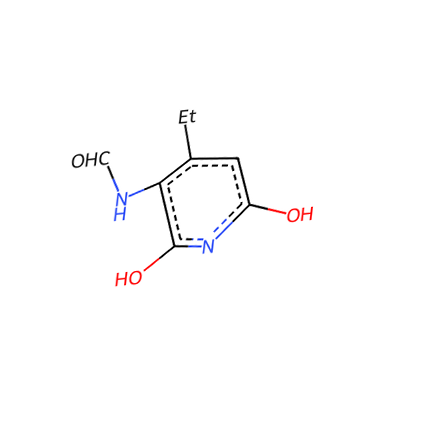 CCc1cc(O)nc(O)c1NC=O